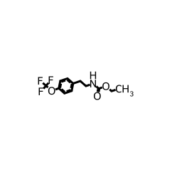 CCOC(=O)NCCc1ccc(OC(F)(F)F)cc1